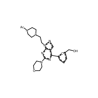 CC(=O)N1CCN(CCn2ncc3c(-c4cccc(CO)c4)nc(N4CCOCC4)nc32)CC1